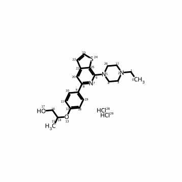 CCN1CCN(c2nc(-c3ccc(OC(C)CO)cc3)cc3ccsc23)CC1.Cl.Cl